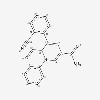 CC(=O)C1=CN(c2ccccc2)C(C=O)C(c2ccccc2C#N)=C1